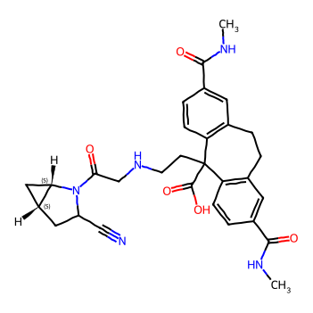 CNC(=O)c1ccc2c(c1)CCc1cc(C(=O)NC)ccc1C2(CCNCC(=O)N1C(C#N)C[C@@H]2C[C@@H]21)C(=O)O